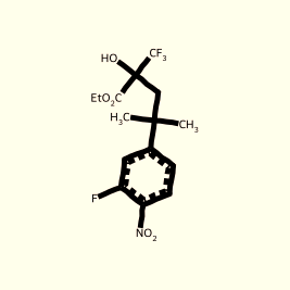 CCOC(=O)C(O)(CC(C)(C)c1ccc([N+](=O)[O-])c(F)c1)C(F)(F)F